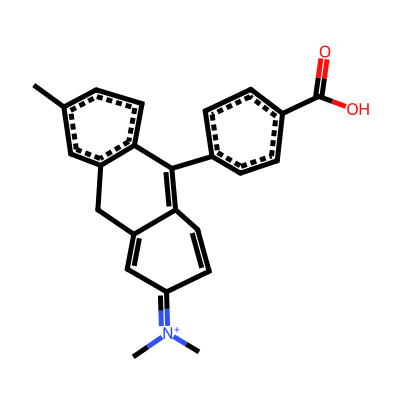 Cc1ccc2c(c1)CC1=CC(=[N+](C)C)C=CC1=C2c1ccc(C(=O)O)cc1